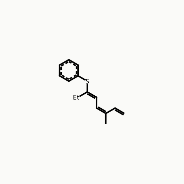 C=C/C(C)=C\C=C(/CC)Sc1ccccc1